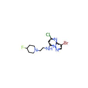 FC1CCN(CCNc2cc(Cl)nc3c(Br)cnn23)CC1